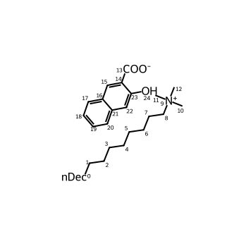 CCCCCCCCCCCCCCCCCC[N+](C)(C)C.O=C([O-])c1cc2ccccc2cc1O